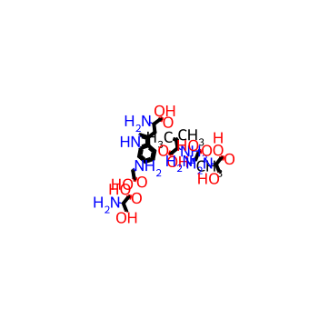 CC(C)[C@H](N)C(=O)O.C[C@H](N)C(=O)O.NCC(=O)O.N[C@@H](CO)C(=O)O.N[C@@H](CO)C(=O)O.N[C@@H](Cc1c[nH]c2ccccc12)C(=O)O